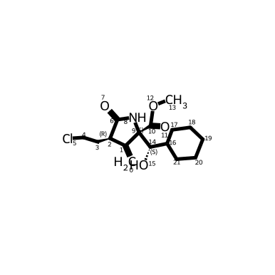 C=C1[C@@H](CCCl)C(=O)N[C@]1(C(=O)OC)[C@@H](O)C1CCCCC1